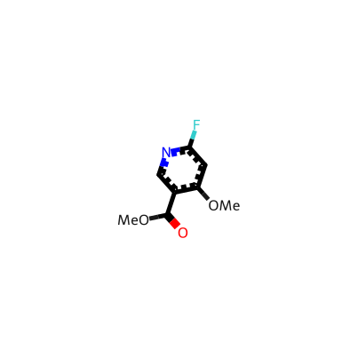 COC(=O)c1cnc(F)cc1OC